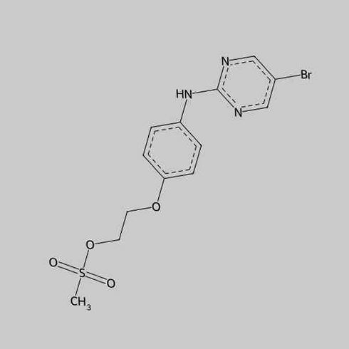 CS(=O)(=O)OCCOc1ccc(Nc2ncc(Br)cn2)cc1